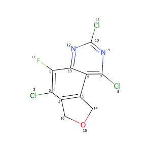 Fc1c(Cl)c2c(c3c(Cl)nc(Cl)nc13)COC2